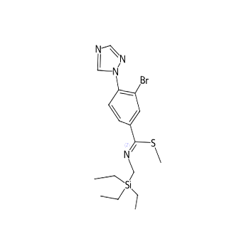 CC[Si](CC)(CC)C/N=C(\SC)c1ccc(-n2cncn2)c(Br)c1